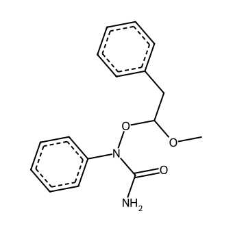 COC(Cc1ccccc1)ON(C(N)=O)c1ccccc1